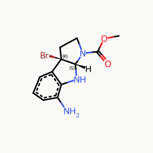 COC(=O)N1CC[C@@]2(Br)c3cccc(N)c3N[C@@H]12